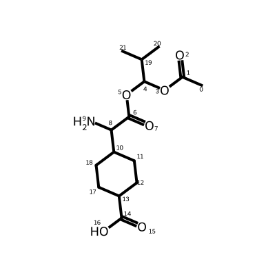 CC(=O)OC(OC(=O)C(N)C1CCC(C(=O)O)CC1)C(C)C